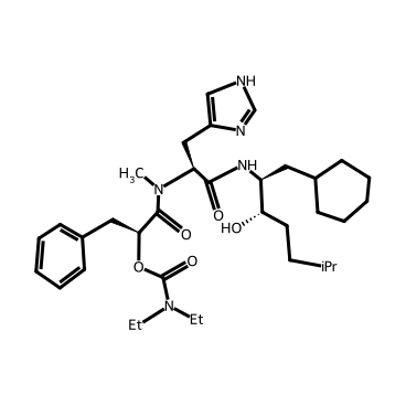 CCN(CC)C(=O)O[C@@H](Cc1ccccc1)C(=O)N(C)[C@@H](Cc1c[nH]cn1)C(=O)N[C@@H](CC1CCCCC1)[C@@H](O)CCC(C)C